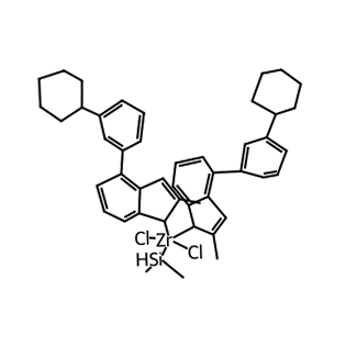 CC1=Cc2c(-c3cccc(C4CCCCC4)c3)cccc2[CH]1[Zr]([Cl])([Cl])([CH]1C(C)=Cc2c(-c3cccc(C4CCCCC4)c3)cccc21)[SiH](C)C